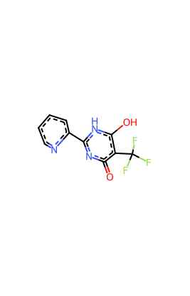 O=c1nc(-c2ccccn2)[nH]c(O)c1C(F)(F)F